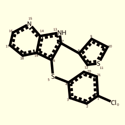 Clc1ccc(Sc2c(-c3ccsc3)[nH]c3ncccc23)cc1